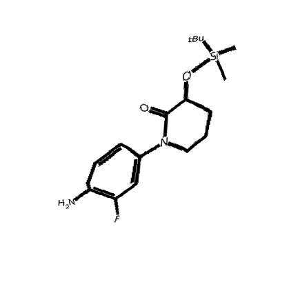 CC(C)(C)[Si](C)(C)OC1CCCN(c2ccc(N)c(F)c2)C1=O